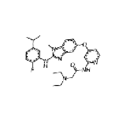 CCN(CC)CC(=O)Nc1cc(Oc2ccc3c(c2)nc(Nc2cc(C(C)C)ccc2F)n3C)ccn1